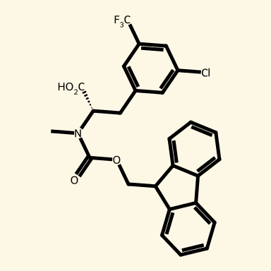 CN(C(=O)OCC1c2ccccc2-c2ccccc21)[C@@H](Cc1cc(Cl)cc(C(F)(F)F)c1)C(=O)O